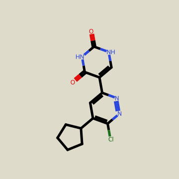 O=c1[nH]cc(-c2cc(C3CCCC3)c(Cl)nn2)c(=O)[nH]1